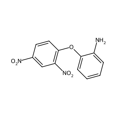 Nc1ccccc1Oc1ccc([N+](=O)[O-])cc1[N+](=O)[O-]